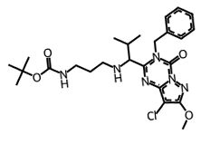 COc1nn2c(=O)n(Cc3ccccc3)c(C(NCCCNC(=O)OC(C)(C)C)C(C)C)nc2c1Cl